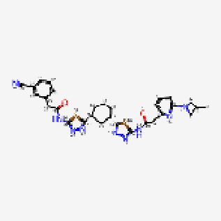 CC1CN(c2cccc(CC(=O)Nc3nnc([C@H]4CCC[C@H](c5nnc(NC(=O)Cc6cccc(C#N)c6)s5)C4)s3)n2)C1